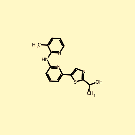 Cc1cccnc1Nc1cccc(-c2cnc([C@H](C)O)s2)n1